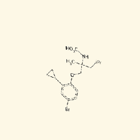 CC(C)CC(C)(COc1ccc(Br)cc1C1CC1)NC(=O)O